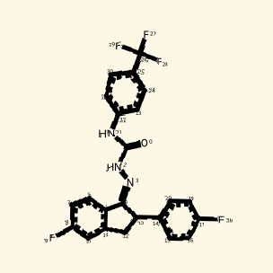 O=C(NN=C1c2ccc(F)cc2CC1c1ccc(F)cc1)Nc1ccc(C(F)(F)F)cc1